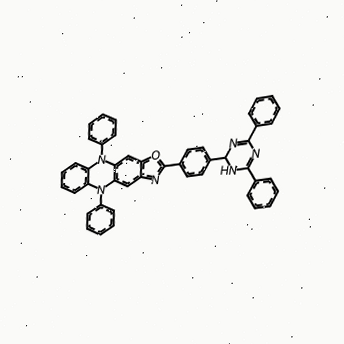 c1ccc(C2=NC(c3ccc(-c4nc5cc6c(cc5o4)N(c4ccccc4)c4ccccc4N6c4ccccc4)cc3)NC(c3ccccc3)=N2)cc1